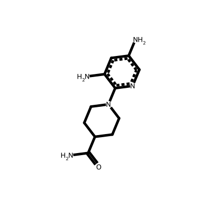 NC(=O)C1CCN(c2ncc(N)cc2N)CC1